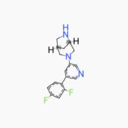 Fc1ccc(-c2cncc(N3C[C@H]4CN[C@H](C4)C3)c2)c(F)c1